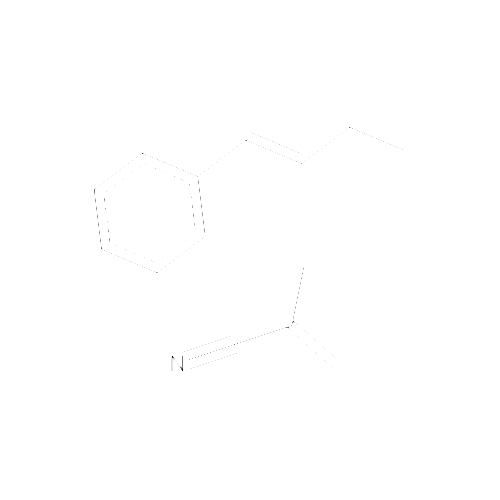 C=C(C)C#N.CCC=Cc1ccccc1